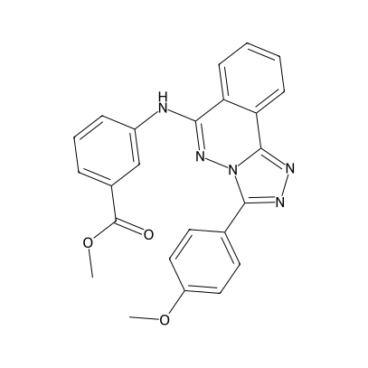 COC(=O)c1cccc(Nc2nn3c(-c4ccc(OC)cc4)nnc3c3ccccc23)c1